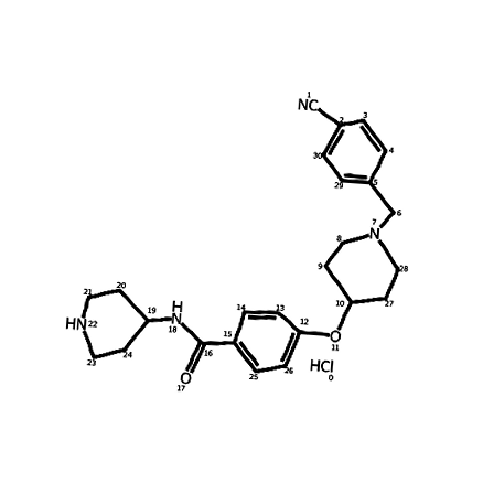 Cl.N#Cc1ccc(CN2CCC(Oc3ccc(C(=O)NC4CCNCC4)cc3)CC2)cc1